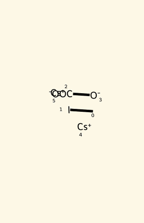 CI.O=C([O-])[O-].[Cs+].[Cs+]